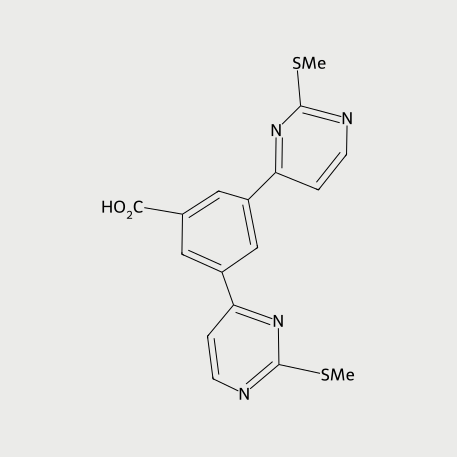 CSc1nccc(-c2cc(C(=O)O)cc(-c3ccnc(SC)n3)c2)n1